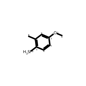 COc1ccc([SiH3])c(C)c1